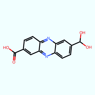 O=C(O)c1ccc2nc3cc(C(O)O)ccc3nc2c1